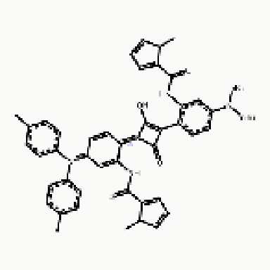 CCCCN(CCCC)c1ccc(C2=C(O)/C(=C3\C=CC(=[N+](c4ccc(C)cc4)c4ccc(C)cc4)C=C3NC(=O)C3=CC=CC3C)C2=O)c(NC(=O)C2=CC=CC2C)c1